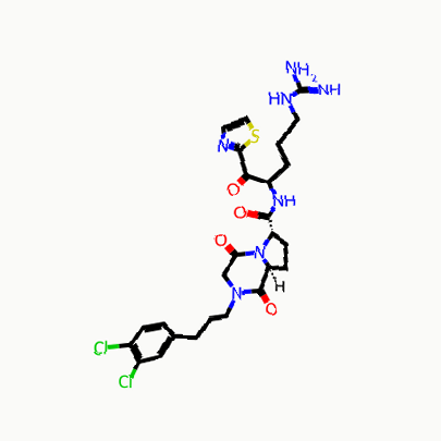 N=C(N)NCCCC(NC(=O)[C@@H]1CC[C@H]2C(=O)N(CCCc3ccc(Cl)c(Cl)c3)CC(=O)N12)C(=O)c1nccs1